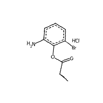 CCC(=O)Oc1c(N)cccc1Br.Cl